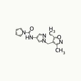 Cc1noc(C)c1Cn1cc(NC(=O)n2cccc2)cn1